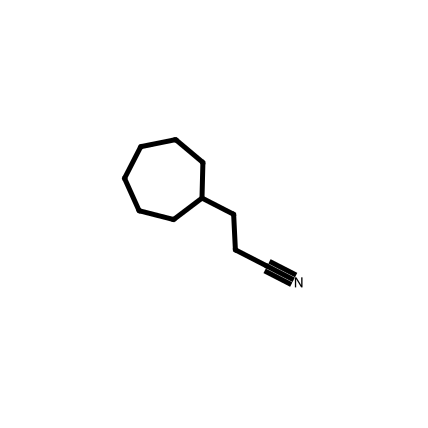 N#CCCC1CCCCCC1